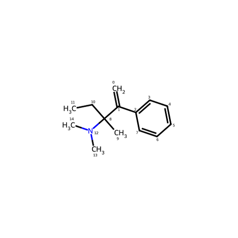 C=C(c1ccccc1)C(C)(CC)N(C)C